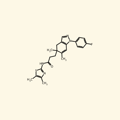 CC1=Cc2c(cnn2-c2ccc(F)cc2)CC1(C)CCC(=O)Nc1nc(C)c(C)s1